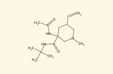 C=CC1CN(C)CC(NC(C)=O)(C(=O)NC(C)(C)C)C1